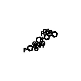 CS(=O)(=O)c1c(-c2ccccc2)ccc(N2CCCC(NS(=O)(=O)c3ccc(F)cc3)C2=O)c1F